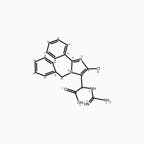 N=C(N)NC(C(=O)O)c1c(Cl)nc(-c2ccccc2)n1Cc1ccccc1